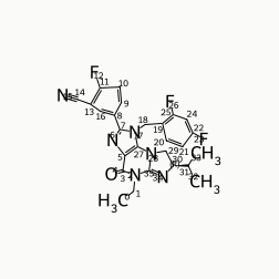 CCN1C(=O)c2nc(-c3ccc(F)c(C#N)c3)n(Cc3ccc(F)cc3F)c2N2C[C@@H](C(C)C)N=C12